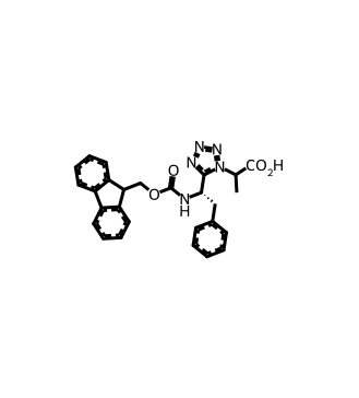 CC(C(=O)O)n1nnnc1[C@H](Cc1ccccc1)NC(=O)OCC1c2ccccc2-c2ccccc21